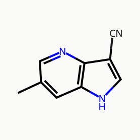 Cc1cnc2c(C#N)c[nH]c2c1